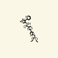 CCOP(Cn1cc(-c2nc(C(=O)Nc3cn(C)nc3-c3ccccn3)cs2)cn1)OCC